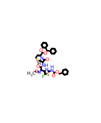 CO/N=C(\C(=O)N[C@@H]1C(=O)N2C(C(=O)OC(c3ccccc3)c3ccccc3)=CCS[C@H]12)c1nc(NC(=O)OCc2ccccc2)sc1F